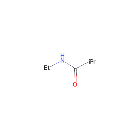 [CH2]CNC(=O)C(C)C